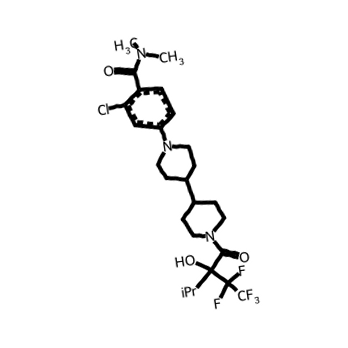 CC(C)C(O)(C(=O)N1CCC(C2CCN(c3ccc(C(=O)N(C)C)c(Cl)c3)CC2)CC1)C(F)(F)C(F)(F)F